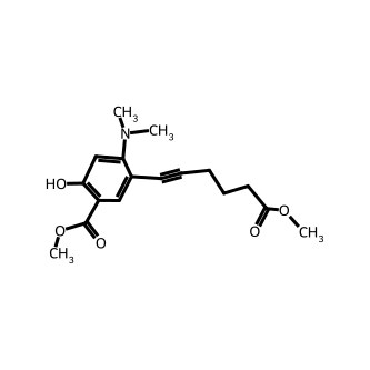 COC(=O)CCCC#Cc1cc(C(=O)OC)c(O)cc1N(C)C